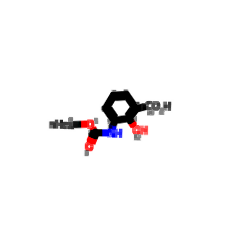 CCCCCCOC(=O)Nc1cccc(C(=O)O)c1O